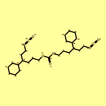 O=C=NCCC(CCCOC(=O)OCCCC(CCN=C=O)C1CCCCC1)C1CCCCC1